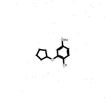 COc1ccc(C#N)c(OC2CCCC2)c1